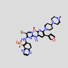 COc1nc(N2CCC(N3CCN(C)CC3)CC2)c(-c2ccoc2)cc1Nc1ncc(Br)c(Nc2ccc3nccnc3c2P(C)(C)=O)n1